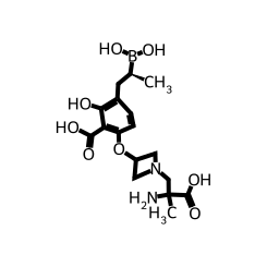 C[C@@H](Cc1ccc(OC2CN(CC(C)(N)C(=O)O)C2)c(C(=O)O)c1O)B(O)O